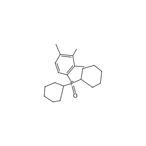 Cc1ccc(P(=O)(C2CCCCC2)C2CCCCC2)c(C)c1C